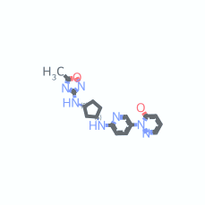 Cc1nc(N[C@H]2CC[C@H](Nc3ccc(-n4ncccc4=O)cn3)C2)no1